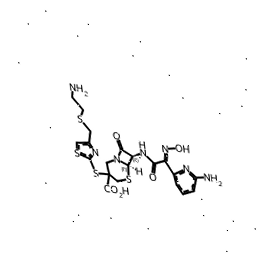 NCCSCc1csc(SC2(C(=O)O)CS[C@@H]3[C@H](NC(=O)C(=NO)c4cccc(N)n4)C(=O)N3C2)n1